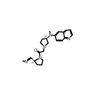 CN=C[C@@H]1CCCN1C(=O)CN1CC[C@@H](N(C)c2ccc3ncccc3c2)C1